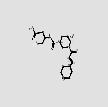 Cl.O=C(O)CC(CO)NC(=O)[C@@H]1CCCN(C(=O)/C=C/C2CCNCC2)C1